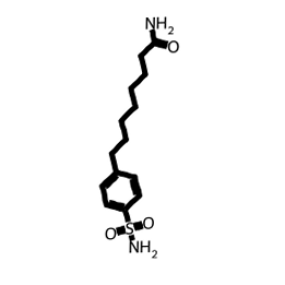 NC(=O)CCCCCCCc1ccc(S(N)(=O)=O)cc1